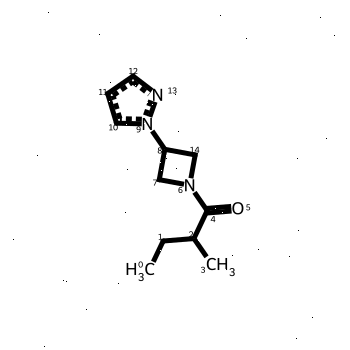 CCC(C)C(=O)N1CC(n2cccn2)C1